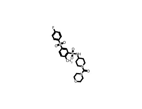 Cc1ccc(S(=O)(=O)c2ccc(F)cc2)cc1S(=O)(=O)NC1CCN(C(=O)N2CCOCC2)CC1